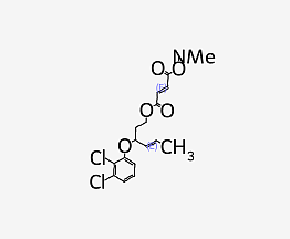 C/C=C/C(CCOC(=O)/C=C/C(=O)ONC)Oc1cccc(Cl)c1Cl